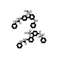 O=C(Nc1ccccc1)Nc1ccc(-c2cc(Nc3ccccc3)ccc2S(=O)(=O)O)cc1.O=C(Nc1ccccc1)Nc1cccc(-c2cc(NS(=O)(=O)c3ccccc3)ccc2S(=O)(=O)O)c1